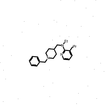 CCN(CC1CCN(Cc2ccccc2)CC1)c1ncccc1C(C)C